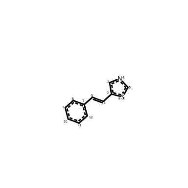 C(=Cc1cncs1)c1ccccc1